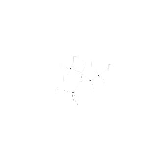 O=C(O)C1C(Cl)(C(F)(F)F)C1(Cl)C(F)(F)F